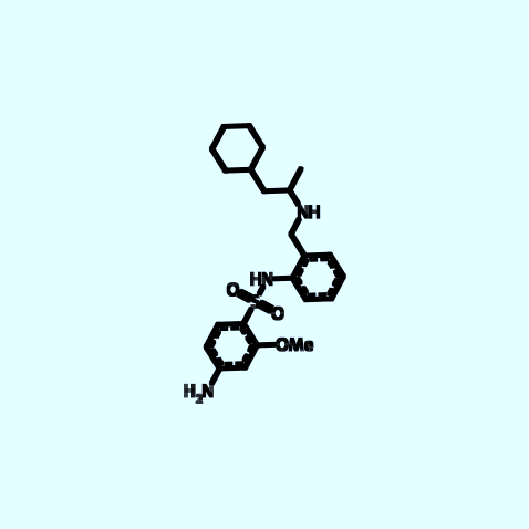 COc1cc(N)ccc1S(=O)(=O)Nc1ccccc1CNC(C)CC1CCCCC1